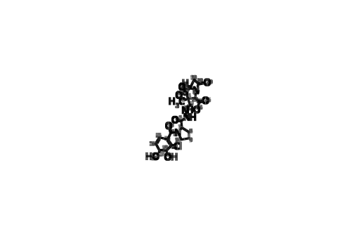 C[C@]1(/C=N/NC(=O)C2CCCN2C(=O)c2ccc(O)c(O)c2Cl)[C@H](C(=O)O)N2C(=O)C[C@H]2S1(=O)=O